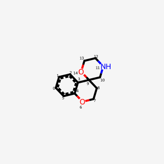 c1ccc2c(c1)OCCC21CNCCO1